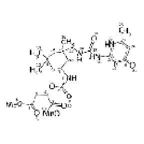 COC(=O)CC(OC(=O)NC1CC(C)(C)CC(C)(CNC(=O)Nc2nc(=O)cc(C)[nH]2)C1)C(=O)OC